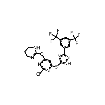 FC(F)(F)c1cc(-c2n[nH]c(Sc3cc(OC4=NCCCN4)nc(Cl)n3)n2)cc(C(F)(F)F)c1